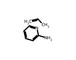 C=CC.Nc1ccccn1